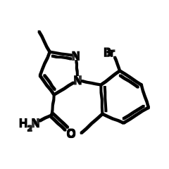 Cc1cc(C(N)=O)n(-c2c(C)cccc2Br)n1